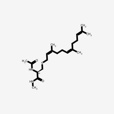 CNC(=O)[C@H](CSCC=C(C)CCC=C(C)CCC=C(C)C)NC(C)=O